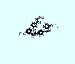 CC(C)(C)OC(=O)N1CCC(Oc2ccc(C(F)(F)F)cc2NC(=O)Nc2ccc(-n3cnc4c(N)ncnc43)cc2)C1